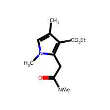 CCOC(=O)c1c(C)cn(C)c1CC(=O)NC